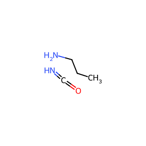 CCCN.N=C=O